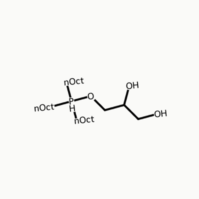 CCCCCCCC[PH](CCCCCCCC)(CCCCCCCC)OCC(O)CO